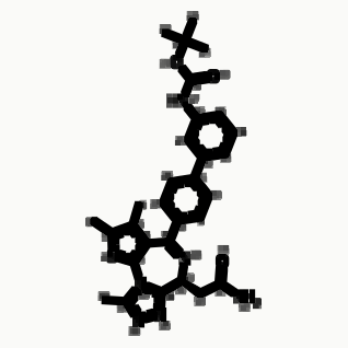 Cc1sc2c(c1C)C(c1ccc(-c3cccc(NC(=O)OC(C)(C)C)c3)cc1)=N[C@@H](CC(N)=O)c1nnc(C)n1-2